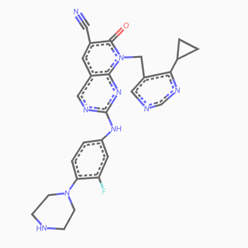 N#Cc1cc2cnc(Nc3ccc(N4CCNCC4)c(F)c3)nc2n(Cc2cncnc2C2CC2)c1=O